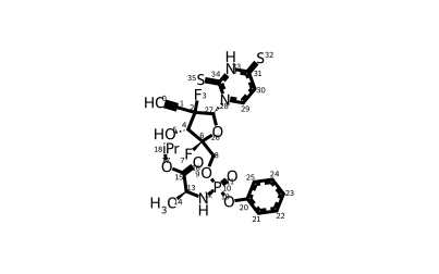 C#CC1(F)[C@@H](O)[C@@](F)(COP(=O)(N[C@@H](C)C(=O)OC(C)C)Oc2ccccc2)O[C@H]1n1ccc(=S)[nH]c1=S